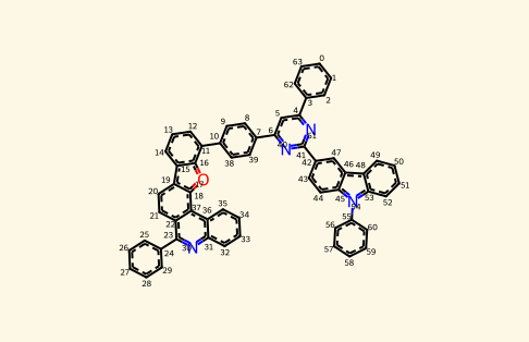 c1ccc(-c2cc(-c3ccc(-c4cccc5c4oc4c5ccc5c(-c6ccccc6)nc6ccccc6c54)cc3)nc(-c3ccc4c(c3)c3ccccc3n4-c3ccccc3)n2)cc1